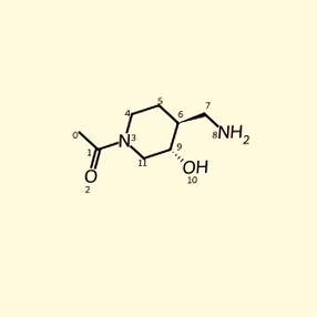 CC(=O)N1CC[C@@H](CN)[C@H](O)C1